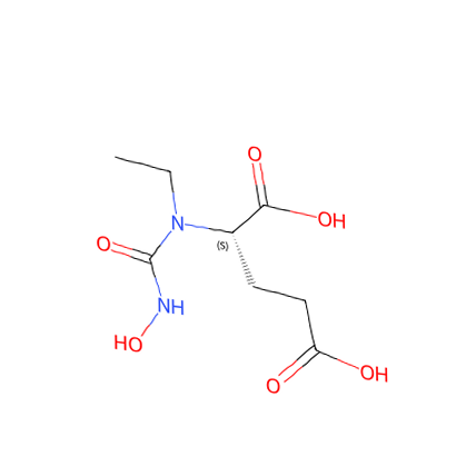 CCN(C(=O)NO)[C@@H](CCC(=O)O)C(=O)O